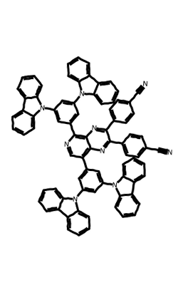 N#Cc1ccc(-c2nc3c(-c4cc(-n5c6ccccc6c6ccccc65)cc(-n5c6ccccc6c6ccccc65)c4)cnc(-c4cc(-n5c6ccccc6c6ccccc65)cc(-n5c6ccccc6c6ccccc65)c4)c3nc2-c2ccc(C#N)cc2)cc1